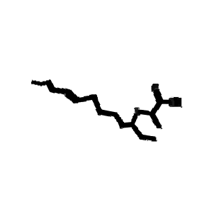 CCCC=CCCCCC(CC)SC(C)C(=O)O